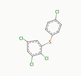 Clc1ccc(Sc2cc(Cl)cc(Cl)c2Cl)cc1